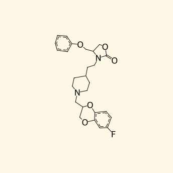 O=C1OCC(COc2ccccc2)N1CCC1CCN(CC2COc3cc(F)ccc3O2)CC1